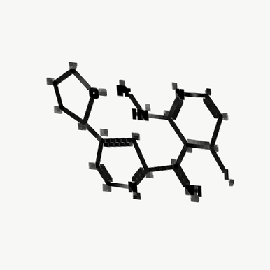 CC(C)Nc1nccc(I)c1C(=N)c1cc(C2CCCO2)ccn1